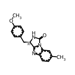 COc1ccc(C[C@H]2NC(=O)n3c2nc2ccc(C)cc23)cc1